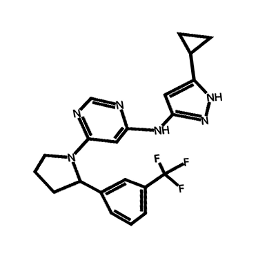 FC(F)(F)c1cccc(C2CCCN2c2cc(Nc3cc(C4CC4)[nH]n3)ncn2)c1